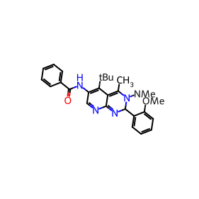 CNN1C(C)=c2c(C(C)(C)C)c(NC(=O)c3ccccc3)cnc2=NC1c1ccccc1OC